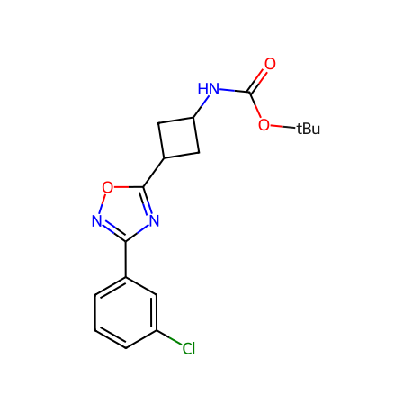 CC(C)(C)OC(=O)NC1CC(c2nc(-c3cccc(Cl)c3)no2)C1